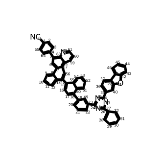 N#Cc1ccc(-c2cc3c4ccccc4c(-c4ccc(-c5cccc(-c6nc(-c7ccccc7)nc(-c7ccc8c(c7)oc7ccccc78)n6)c5)c5ccccc45)cc3c3cccnc23)cc1